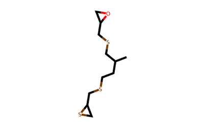 CC(CCSCC1CS1)CSCC1CO1